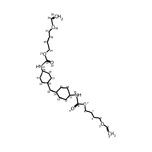 C=COCCCCOC(=O)NC1CCC(CC2CCC(NC(=O)OCCCCOC=C)CC2)CC1